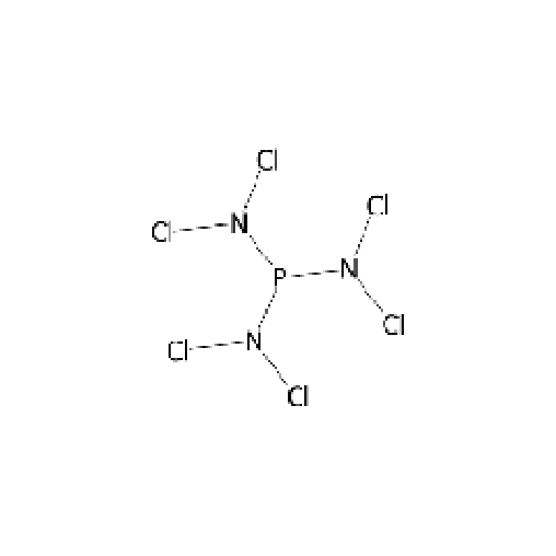 ClN(Cl)P(N(Cl)Cl)N(Cl)Cl